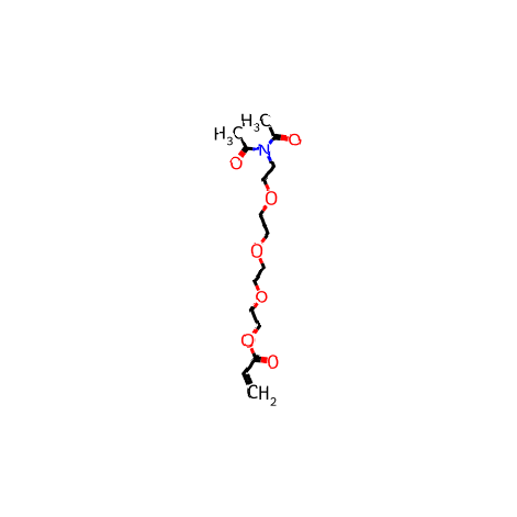 C=CC(=O)OCCOCCOCCOCCN(C(C)=O)C(C)=O